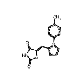 Cc1ccc(-n2cccc2C=C2SC(=O)NC2=O)cc1